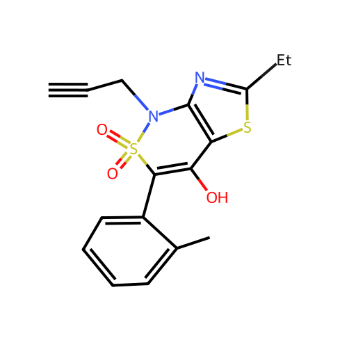 C#CCN1c2nc(CC)sc2C(O)=C(c2ccccc2C)S1(=O)=O